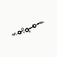 CCCC#Cc1ccc(C#Cc2ccc(OC(=O)c3ccc(CCC)cc3)cc2F)cc1